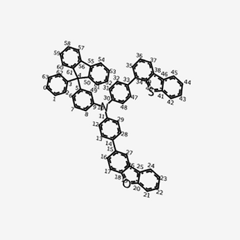 c1ccc(C2(c3cccc(N(c4ccc(-c5ccc6oc7ccccc7c6c5)cc4)c4ccc(-c5cccc6c5sc5ccccc56)cc4)c3)c3ccccc3-c3ccccc32)cc1